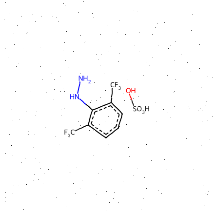 NNc1c(C(F)(F)F)cccc1C(F)(F)F.O=S(=O)(O)O